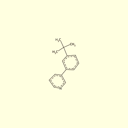 CC(C)(C)c1cccc(-c2cccnc2)c1